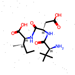 CC[C@H](C)[C@H](NC(=O)[C@H](CC(=O)O)NC(=O)[C@@H](N)C(C)(C)C)C(=O)O